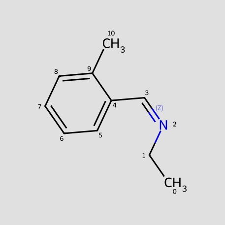 CC/N=C\c1ccccc1C